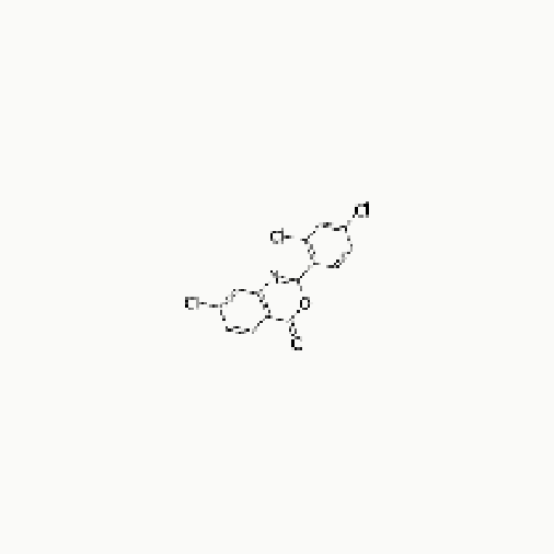 O=c1oc(-c2ccc(Cl)cc2Cl)nc2cc(Cl)ccc12